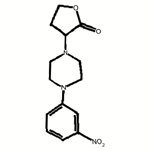 O=C1OCCC1N1CCN(c2cccc([N+](=O)[O-])c2)CC1